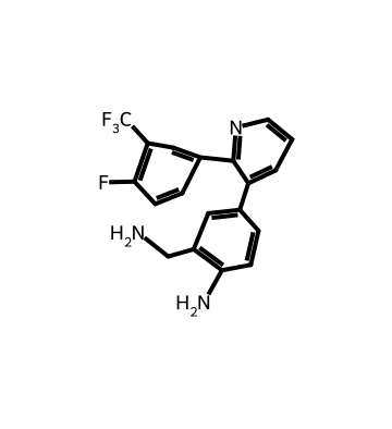 NCc1cc(-c2cccnc2-c2ccc(F)c(C(F)(F)F)c2)ccc1N